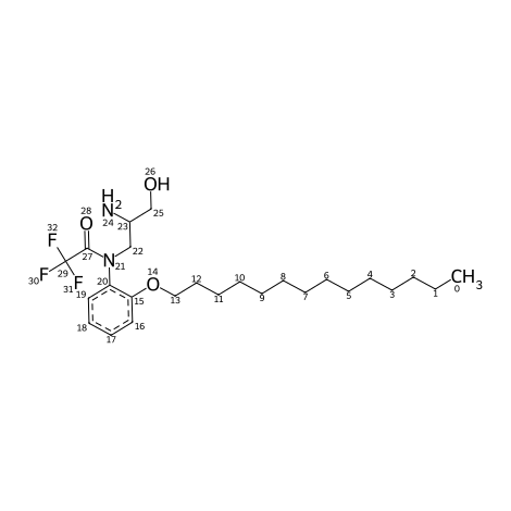 CCCCCCCCCCCCCCOc1ccccc1N(CC(N)CO)C(=O)C(F)(F)F